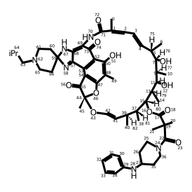 C/C1=C/C=C/[C@H](C)[C@H](O)[C@@H](C)[C@@H](O)[C@@H](C)[C@H](OC(=O)C(C)(C)C(=O)N2CCC(Nc3ccccc3)CC2)[C@H](C)[C@@H](C)/C=C/O[C@@]2(C)Oc3c(C)c(O)c4c(c3C2=O)C2=NC3(CCN(CC(C)C)CC3)NC2=C(NC1=O)C4=O